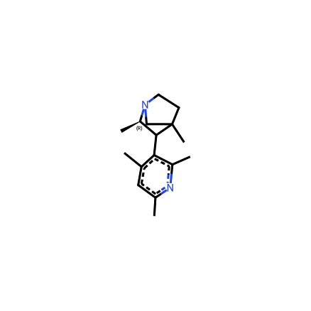 Cc1cc(C)c(C2[C@@H](C)N3CCC2(C)C3)c(C)n1